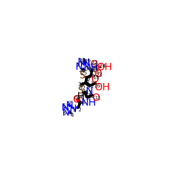 O=C(Cn1cnnn1)NC1C(=O)N2C(C(=O)O)=C(C(CCS(=O)(=O)O)Sc3nnn[nH]3)CS[C@@H]12